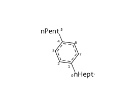 CCCCCC[CH]c1ccc(CCCCC)cc1